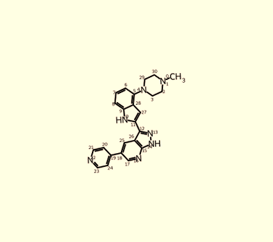 CN1CCN(c2cccc3[nH]c(-c4n[nH]c5ncc(-c6ccncc6)cc45)cc23)CC1